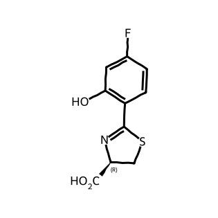 O=C(O)[C@@H]1CSC(c2ccc(F)cc2O)=N1